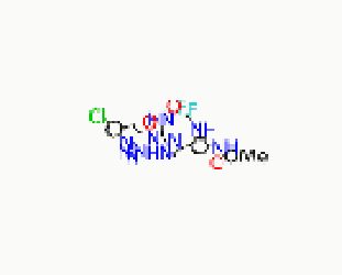 COC(=O)Nc1ccc2c(c1)NCC(F)(F)C(=O)NC[C@H](NC(=O)C=Cc1cc(Cl)ccc1-n1cnnn1)c1nc-2c[nH]1